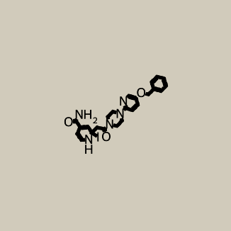 NC(=O)C1=CC(I)(CC(=O)N2CCN(c3ccc(OCc4ccccc4)cn3)CC2)NC=C1